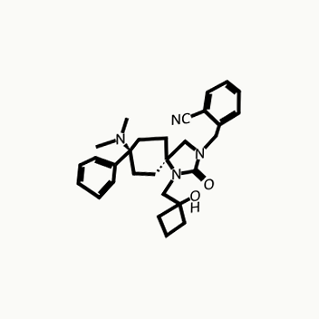 CN(C)[C@]1(c2ccccc2)CC[C@]2(CC1)CN(Cc1ccccc1C#N)C(=O)N2CC1(O)CCC1